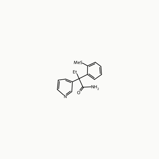 CCC(C(N)=O)(c1cccnc1)c1ccccc1SC